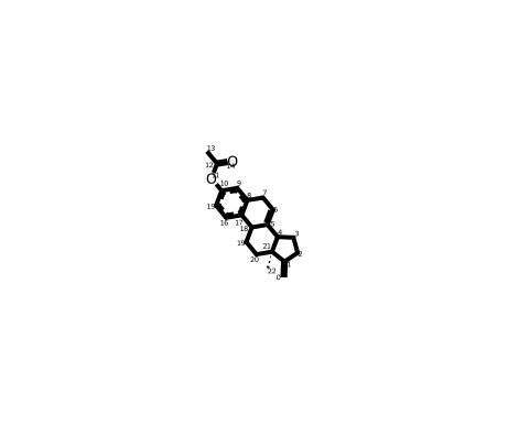 C=C1CCC2C3=CCc4cc(OC(C)=O)ccc4C3CC[C@]12C